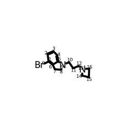 Brc1cccc2c1CCN2CCCN1CCC1